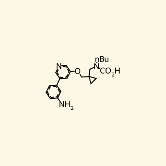 CCCCN(CC1(COc2cncc(-c3cccc(N)c3)c2)CC1)C(=O)O